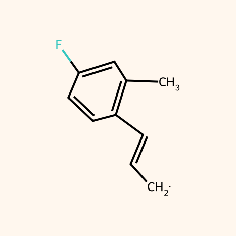 [CH2]/C=C/c1ccc(F)cc1C